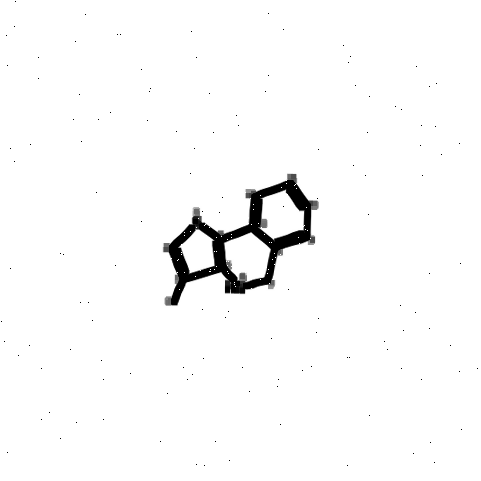 Cc1csc2c1NCc1ccccc1-2